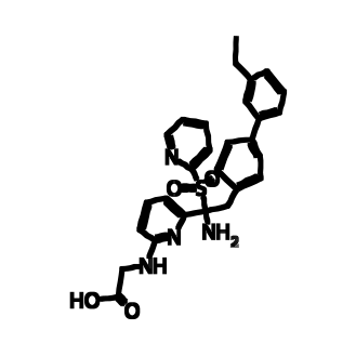 CCc1cccc(-c2ccc(CC(N)(c3cccc(NCC(=O)O)n3)S(=O)(=O)c3ccccn3)cc2)c1